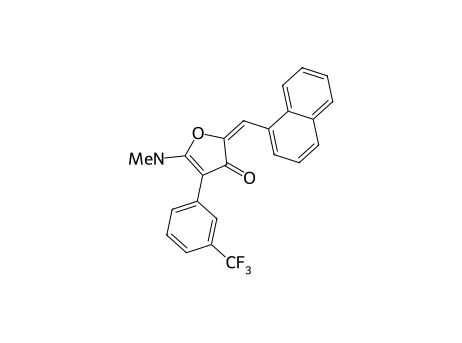 CNC1=C(c2cccc(C(F)(F)F)c2)C(=O)C(=Cc2cccc3ccccc23)O1